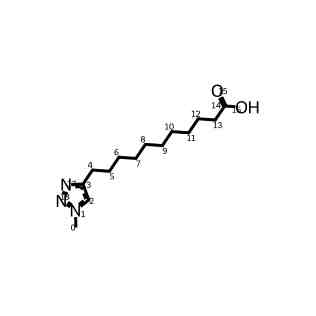 Cn1cc(CCCCCCCCCCC(=O)O)nn1